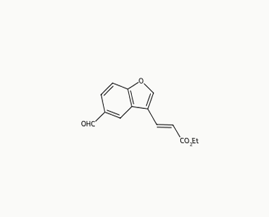 CCOC(=O)/C=C/c1coc2ccc(C=O)cc12